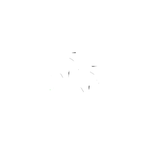 Cl.Cl.[CH2]=[Hf]([C]1=CC=CC1)[C]1=CC(C)=C(C)C1.[CH2]=[Hf]([C]1=CC=CC1)[C]1=CC(C)=C(C)C1